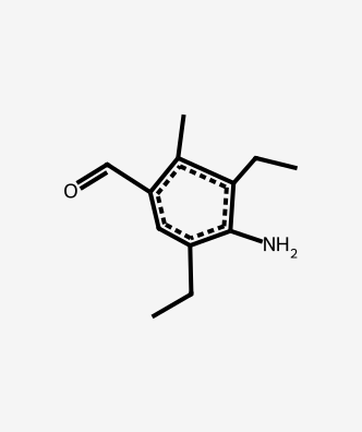 CCc1cc(C=O)c(C)c(CC)c1N